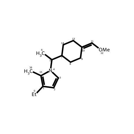 CCc1ccn(C(C)C2CCC(=COC)CC2)c1C